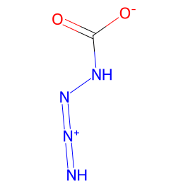 N=[N+]=NNC(=O)[O-]